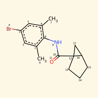 Cc1cc(Br)cc(C)c1NC(=O)C12CCCC1C2